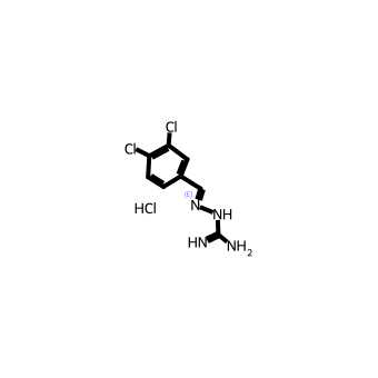 Cl.N=C(N)N/N=C/c1ccc(Cl)c(Cl)c1